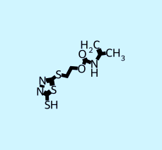 C=C(C)NC(=O)OCCSc1nnc(S)s1